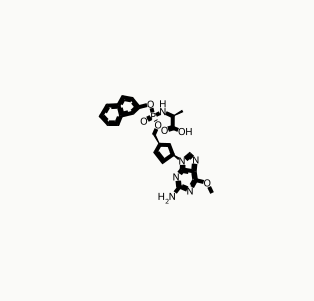 COc1nc(N)nc2c1ncn2[C@H]1C=C[C@@H](COP(=O)(N[C@@H](C)C(=O)O)Oc2ccc3ccccc3c2)C1